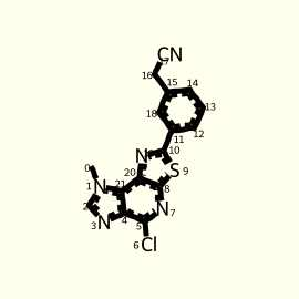 Cn1cnc2c(Cl)nc3sc(-c4cccc(CC#N)c4)nc3c21